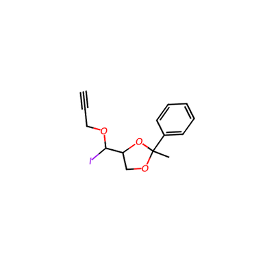 C#CCOC(I)C1COC(C)(c2ccccc2)O1